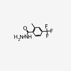 Cc1cc(C(F)(F)F)ccc1C(=O)NN